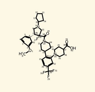 COc1cccc([C@@H]2CN(C3CCCC3)C[C@@]2(F)C(=O)N2CCC(c3ccc(C(F)(F)F)cc3N3CCC(C(=O)O)CC3)CC2)c1